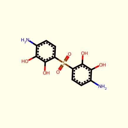 Nc1ccc(S(=O)(=O)c2ccc(N)c(O)c2O)c(O)c1O